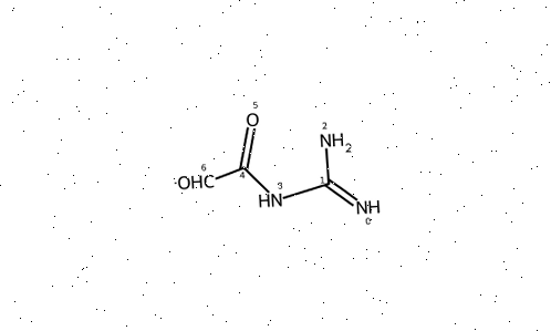 N=C(N)NC(=O)[C]=O